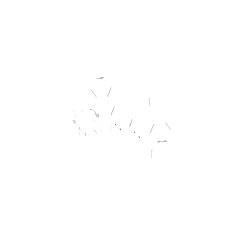 Cc1cccc(Cl)c1NC(=O)Nc1cc2ccccc2cc1C(=O)N1CCC[C@H]1C(=O)O